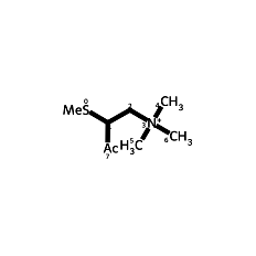 CSC(C[N+](C)(C)C)C(C)=O